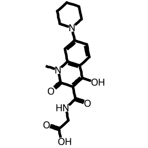 Cn1c(=O)c(C(=O)NCC(=O)O)c(O)c2ccc(N3CCCCC3)cc21